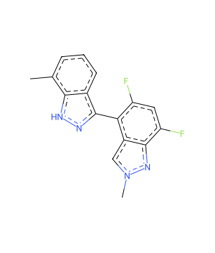 Cc1cccc2c(-c3c(F)cc(F)c4nn(C)cc34)n[nH]c12